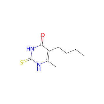 CCCCc1c(C)[nH]c(=S)[nH]c1=O